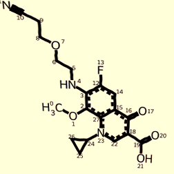 COc1c(NCCOCCC#N)c(F)cc2c(=O)c(C(=O)O)cn(C3CC3)c12